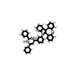 C1=C(c2ccccc2)NC(c2ccccc2)NC1c1cccc(-n2c3c(c4cccnc42)-c2ccccc2Oc2ccccc2-3)c1